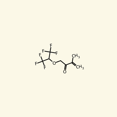 C=C(C)C(=O)COC(C(F)(F)F)C(F)(F)F